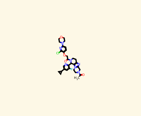 CC(=O)N1CCn2c(nc3c2C(c2ncc(C4CC4)cc2F)N(C(=O)COc2ccc(N4CCOCC4)nc2Cl)CC3)C1